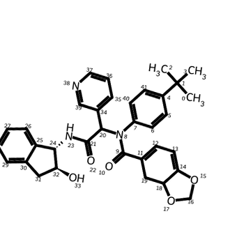 CC(C)(C)c1ccc(N(C(=O)C2=CC=C3OCOC3C2)C(C(=O)N[C@H]2c3ccccc3C[C@@H]2O)c2cccnc2)cc1